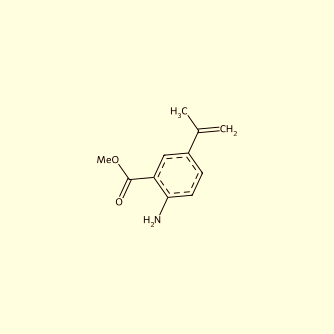 C=C(C)c1ccc(N)c(C(=O)OC)c1